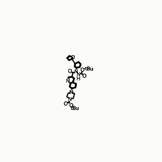 CC(C)(C)OC(=O)NN(C(=O)c1cnc2cc(N3CCN(C(=O)OC(C)(C)C)CC3)ccc2c1)c1cccc(-c2ccco2)c1